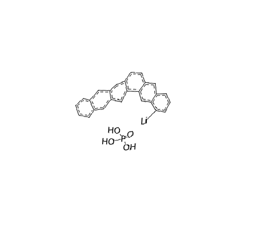 O=P(O)(O)O.[Li][c]1cccc2cc3ccc4cc5cc6ccccc6cc5cc4c3cc12